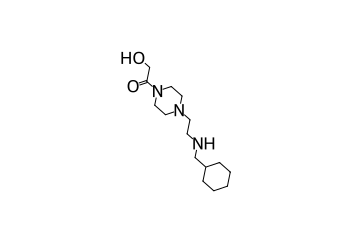 O=C(CO)N1CCN(CCNCC2CCCCC2)CC1